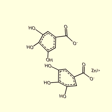 O=C([O-])c1cc(O)c(O)c(O)c1.O=C([O-])c1cc(O)c(O)c(O)c1.[Zn+2]